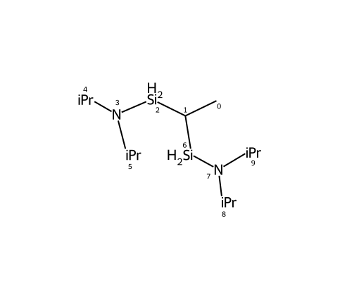 CC([SiH2]N(C(C)C)C(C)C)[SiH2]N(C(C)C)C(C)C